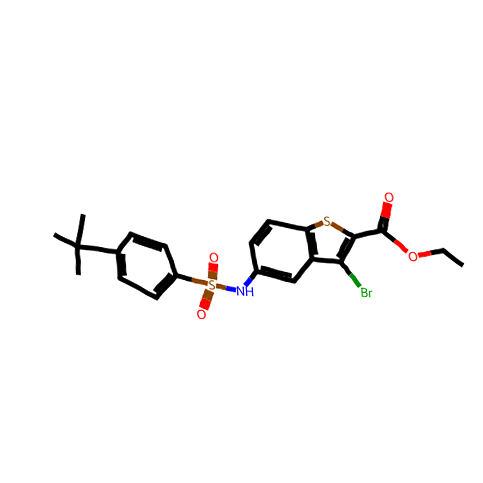 CCOC(=O)c1sc2ccc(NS(=O)(=O)c3ccc(C(C)(C)C)cc3)cc2c1Br